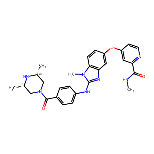 CNC(=O)c1cc(Oc2ccc3c(c2)nc(Nc2ccc(C(=O)N4C[C@@H](C)N[C@@H](C)C4)cc2)n3C)ccn1